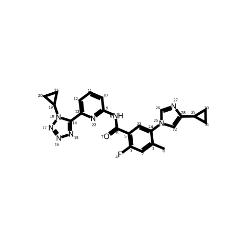 Cc1cc(F)c(C(=O)Nc2cccc(-c3nnnn3C3CC3)n2)cc1-n1cnc(C2CC2)c1